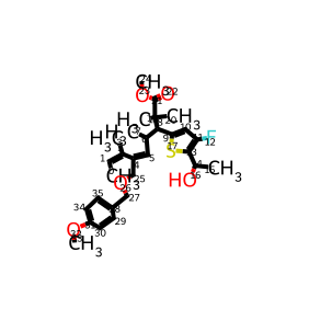 C/C=C(C)\C(=C/C(C)C(c1cc(F)c(C(C)O)s1)C(C)(C)C(=O)OC)COCc1ccc(OC)cc1